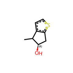 CC1c2ccsc2C[C@H]1O